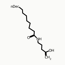 C=C(O)CCCNC(=O)CCCCCCCCCCCCCCCCC